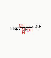 CCCCCCCC(O)CCCCCCCC(=O)O.OCCO